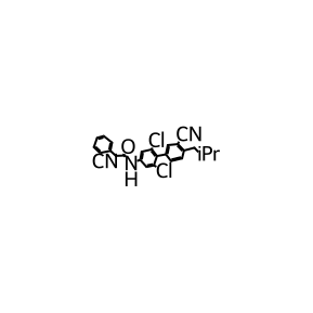 CC(C)Cc1ccc(-c2c(Cl)cc(NC(=O)Cc3ccccc3C#N)cc2Cl)cc1C#N